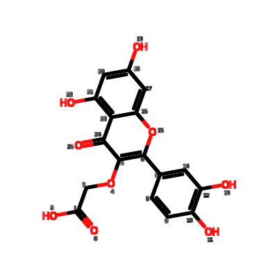 O=C(O)COc1c(-c2ccc(O)c(O)c2)oc2cc(O)cc(O)c2c1=O